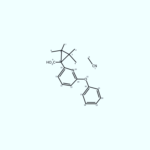 CC#N.CC1(C)C(C)(C)C1(C(=O)O)c1cccc(Oc2ccccc2)n1